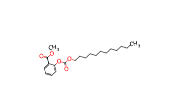 CCCCCCCCCCCCOC(=O)Oc1ccccc1C(=O)OC